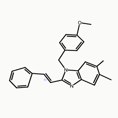 COc1ccc(Cn2c(/C=C/c3ccccc3)nc3cc(C)c(C)cc32)cc1